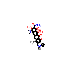 CCN(Cc1cc(O)c2c(c1C(F)(F)F)CC1C[C@H]3[C@H](N(C)C)C(O)=C(C(N)=O)C(=O)[C@@]3(O)C(O)=C1C2=O)C1CCC1